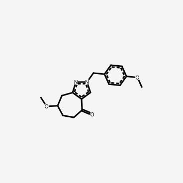 COc1ccc(Cn2cc3c(n2)CC(OC)CCC3=O)cc1